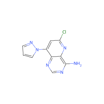 Nc1ncnc2c(-n3cccn3)cc(Cl)nc12